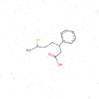 CC(S)CCC(CC(=O)O)c1ccccc1